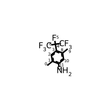 Cc1cc(C(F)(C(F)(F)F)C(F)(F)F)c(C)cc1N